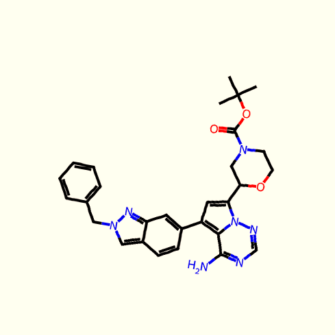 CC(C)(C)OC(=O)N1CCOC(c2cc(-c3ccc4cn(Cc5ccccc5)nc4c3)c3c(N)ncnn23)C1